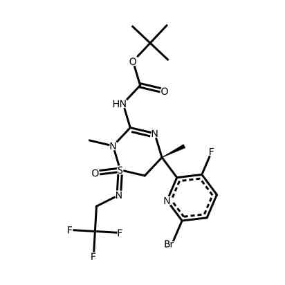 CN1C(NC(=O)OC(C)(C)C)=N[C@](C)(c2nc(Br)ccc2F)CS1(=O)=NCC(F)(F)F